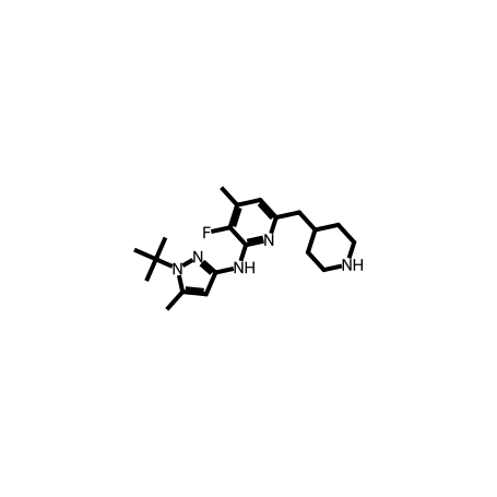 Cc1cc(CC2CCNCC2)nc(Nc2cc(C)n(C(C)(C)C)n2)c1F